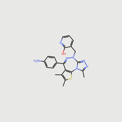 Cc1sc2c(c1C)C(c1ccc(N)cc1)=NN(Cc1cccnc1O)c1nnc(C)n1-2